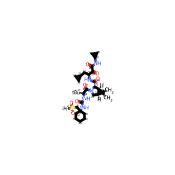 CC(C)S(=O)(=O)CC1(NC(=O)N[C@H](C(=O)N2C[C@H]3[C@@H]([C@H]2C(=O)NC(CC2CC2)C(=O)C(=O)NC2CC2)C3(C)C)C(C)(C)C)CCCCC1